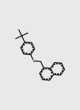 CC(C)(C)c1ccc(SCc2cccc3ccccc23)cc1